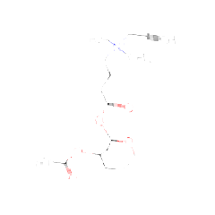 C#CC[N+](C)(C)CCCC(=O)OC1OCCCC1OC(=O)CCC